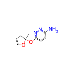 CC1(Oc2ccc(N)nn2)CC=CO1